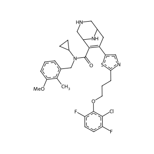 COc1cccc(CN(C(=O)C2=C(c3cnc(CCCOc4c(F)ccc(F)c4Cl)s3)CC3CNCC2N3)C2CC2)c1C